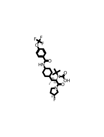 C[C@H](C1CCC(NC(=O)c2ccc(OC(F)(F)F)cc2)CC1)[C@@H](C(=O)N1CC[C@H](F)C1)N(C(=O)O)C(C)(C)C